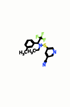 CCN(Sc1cncc(C#N)c1)[C@H](c1cccc(C)c1)C(F)(F)F